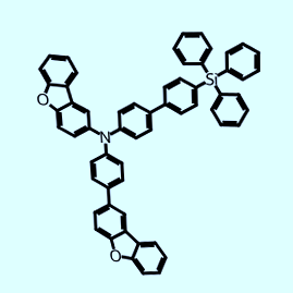 c1ccc([Si](c2ccccc2)(c2ccccc2)c2ccc(-c3ccc(N(c4ccc(-c5ccc6oc7ccccc7c6c5)cc4)c4ccc5oc6ccccc6c5c4)cc3)cc2)cc1